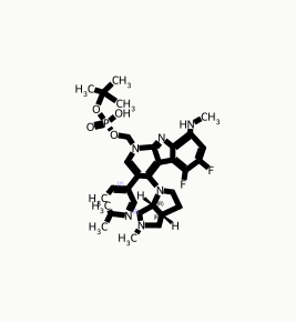 C/C=C(\C=N/C(C)C)c1cn(COP(=O)(O)OC(C)(C)C)c2nc3c(NC)cc(F)c(F)c3c-2c1N1CC[C@@H]2CN(C)C[C@@H]21